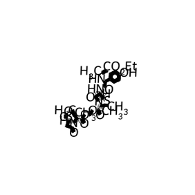 CCOC(=O)C=C(C)NC(C(=O)N[C@@H]1C(=O)N2[C@@H]1SC(C)(C)[C@@H]2C(=O)OCOC(=O)[C@@H]1N2C(=O)C[C@H]2S(=O)(=O)C1(C)C)c1ccc(O)cc1